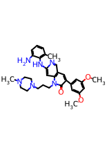 COc1cc(OC)cc(-c2cc3cnc(Nc4c(C)cccc4N)cc3n(CCCN3CCN(C)CC3)c2=O)c1